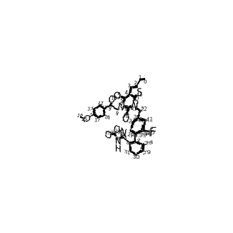 CCc1cc2c(=O)n(CC(=O)c3ccc(OC)cc3)c(=O)n(Cc3ccc(-c4ccccc4-c4noc(=O)[nH]4)c(F)c3)c2s1